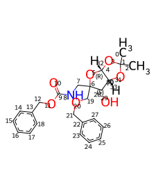 CC1(C)O[C@H]2OC(CNC(=O)OCc3ccccc3)(COCc3ccccc3)[C@@H](O)[C@H]2O1